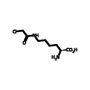 N[C@H](CCCCNC(=O)CCl)C(=O)O